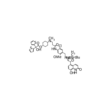 COc1cc(NC(=O)CCN(C)C2CCC(OC(=O)C(O)(c3cccs3)c3cccs3)CC2)c(Cl)cc1CCNC[C@@H](O[Si](C)(C)C(C)(C)C)c1ccc(O)c2[nH]c(=O)ccc12